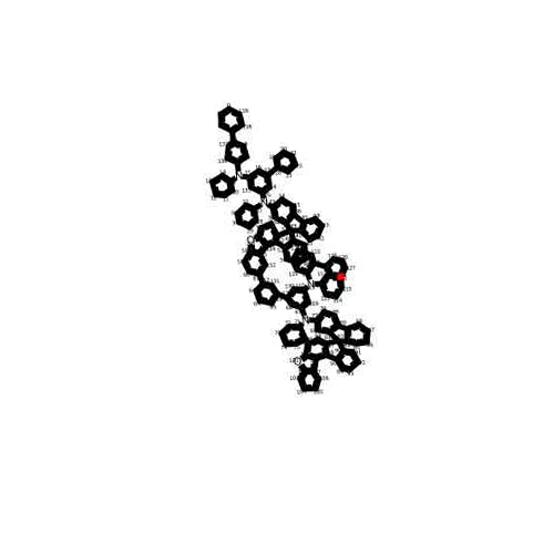 c1ccc(-c2ccc(N(c3ccccc3)c3cc(-c4ccccc4)cc(N(c4ccccc4)c4ccc5c(c4)C4(c6ccccc6-5)c5ccccc5-c5c4ccc4oc6ccc(-c7cccc(-c8cc(N(c9ccccc9)c9ccc%10c(c9)C9(c%11ccccc%11-%10)c%10ccccc%10-c%10c9ccc9oc%11ccccc%11c%109)cc(N(c9ccccc9)c9ccccc9-c9ccccc9)c8)c7)cc6c54)c3)cc2)cc1